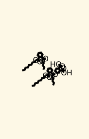 CCCCCCCCOC(=O)c1ccccc1C(=O)OCCCC.CCCCCCCCOC(=O)c1ccccc1C(=O)OCCCC.O=C(O)c1ccccc1C(=O)O